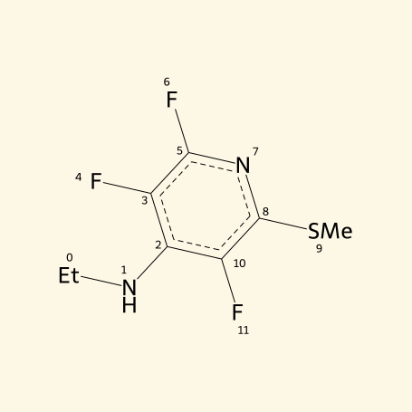 CCNc1c(F)c(F)nc(SC)c1F